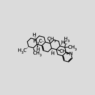 C[C@@H]1[C@H]2C3=CC[C@@H]4[C@@]5(C)Cc6cccnc6C(C)(C)[C@@H]5CC[C@@]4(C)[C@]3(C)CC[C@@H]2CC[C@H]1C